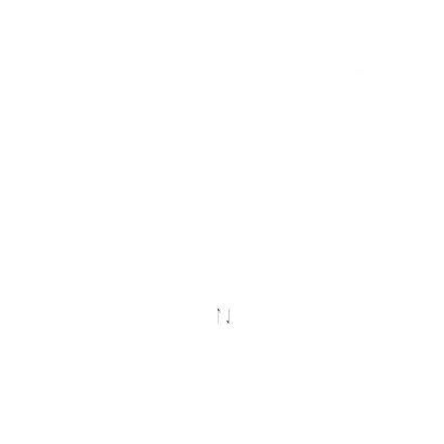 CC(C)c1ccc(-c2cc3ccccc3n2-c2ccccc2)cc1